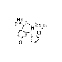 CCOC(C)=O.O=C1NCC2=C1c1ccc(Cl)cc1C(c1ccccc1Cl)=NC2